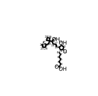 O=C(O)CCCCCC[C@H]1C(=O)C[C@@H](O)[C@H]1C=CCC(O)C1(Cc2cccs2)CCC1